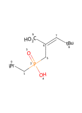 CC(C)CP(=O)(O)C/C(=C\C(C)(C)C)C(=O)O